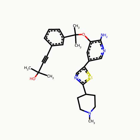 CN1CCC(c2ncc(-c3cnc(N)c(OC(C)(C)c4cccc(C#CC(C)(C)O)c4)c3)s2)CC1